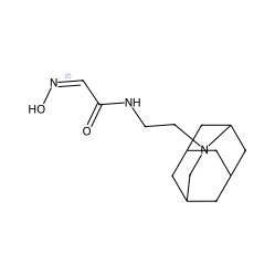 O=C(/C=N\O)NCCN1CC2CC3CC(C2)CC1C3